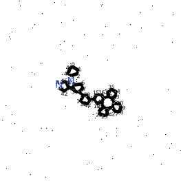 c1ccc(-n2c3ccc(-c4cccc(-c5ccc6c(c5)-c5ccccc5-c5ccccc5-c5ccccc5-6)c4)cc3c3ccncc32)cc1